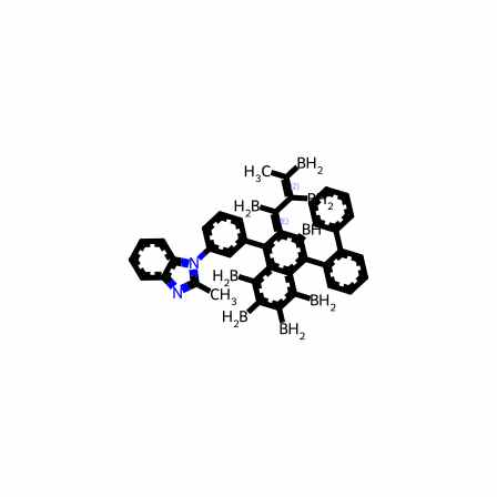 B=c1c(-c2ccccc2-c2ccccc2)c2c(B)c(B)c(B)c(B)c2c(-c2cccc(-n3c(C)nc4ccccc43)c2)/c1=C(B)/C(B)=C(/B)C